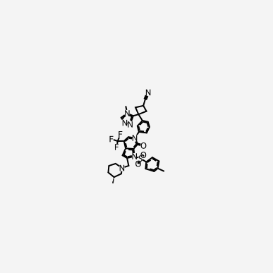 Cc1ccc(S(=O)(=O)n2c(CN3CCC[C@H](C)C3)cc3c(C(F)(F)F)cn(-c4cccc(C5(c6nncn6C)CC(C#N)C5)c4)c(=O)c32)cc1